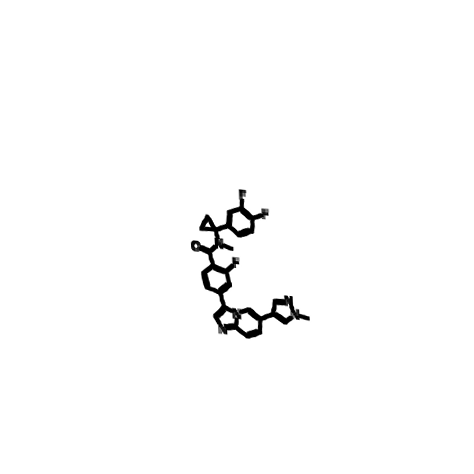 CN(C(=O)c1ccc(-c2cnc3ccc(-c4cnn(C)c4)cn23)cc1F)C1(c2ccc(F)c(F)c2)CC1